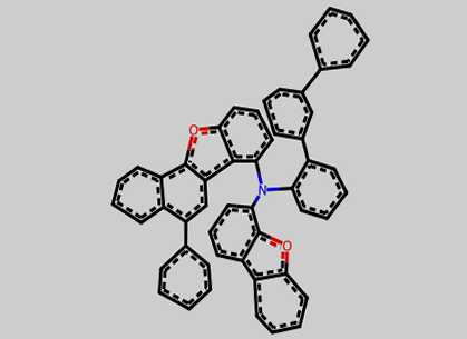 c1ccc(-c2cccc(-c3ccccc3N(c3cccc4c3oc3ccccc34)c3cccc4oc5c6ccccc6c(-c6ccccc6)cc5c34)c2)cc1